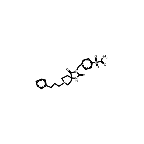 NC(=O)S(=O)(=O)c1ccc(CN2C(=O)NC3(CCN(CC[CH]c4ccccc4)CC3)C2=O)cc1